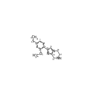 COc1cc(SC)ccc1-c1cn2c(n1)CNCC2